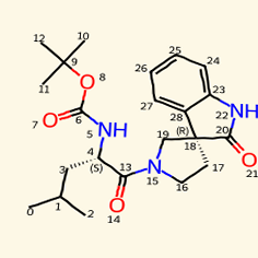 CC(C)C[C@H](NC(=O)OC(C)(C)C)C(=O)N1CC[C@@]2(C1)C(=O)Nc1ccccc12